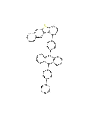 c1ccc(-c2ccc(-c3c4ccccc4c(-c4ccc(-c5cccc6sc7cc8ccccc8cc7c56)cc4)c4ccccc34)cc2)cc1